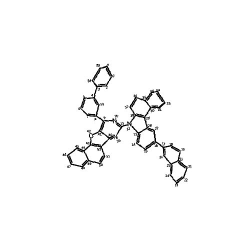 c1ccc(-c2cccc(-c3nc(-n4c5ccc(-c6ccc7ccccc7c6)cc5c5c6ccccc6ccc54)nc4c3oc3c5ccccc5ccc43)c2)cc1